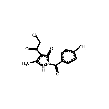 Cc1ccc(C(=O)n2[nH]c(C)c(C(=O)CCl)c2=O)cc1